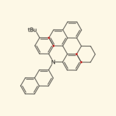 CC(C)(C)c1ccc(N(c2ccc3ccccc3c2)c2ccccc2-c2cccc3cccc(C4CCCCC4)c23)cc1